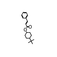 CC(C)(C)C1CCC(OC(=O)/C=C/c2ccccc2)CC1